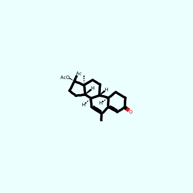 CC(=O)O[C@@]1(C(C)=O)CC[C@H]2[C@@H]3C=C(C)C4=CC(=O)CC[C@@H]4[C@H]3CC[C@@]21C